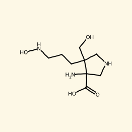 NC1(C(=O)O)CNCC1(CO)CCCNO